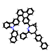 c1ccc(/C2=N/C(c3ccc4c(c3)c3ccccc3c3cccc(-c5ccc6c(c5)c5ccccc5n6-c5ccc6ccccc6c5)c34)C3CC3CC(c3ccc(-c4ccccc4)cc3)C2)cc1